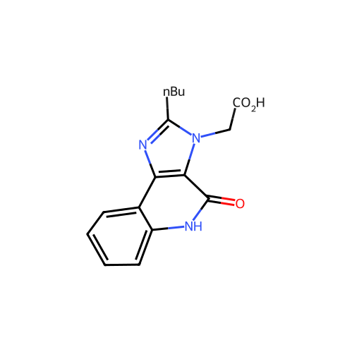 CCCCc1nc2c3ccccc3[nH]c(=O)c2n1CC(=O)O